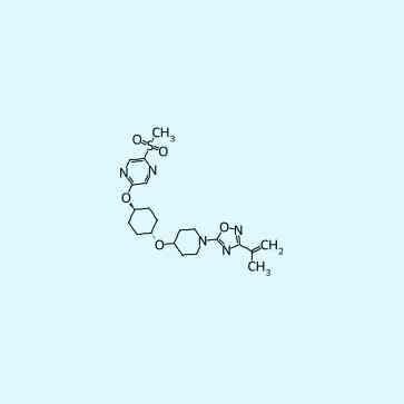 C=C(C)c1noc(N2CCC(O[C@H]3CC[C@H](Oc4cnc(S(C)(=O)=O)cn4)CC3)CC2)n1